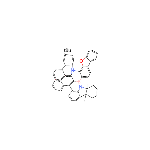 CC(C)(C)c1ccc(N2c3cc4ccccc4c4c3B(c3ccc5c(oc6ccccc65)c32)N2c3c-4cccc3C3(C)CCCCC23C)c(-c2ccccc2)c1